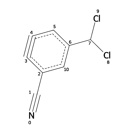 N#Cc1c#ccc(C(Cl)Cl)c1